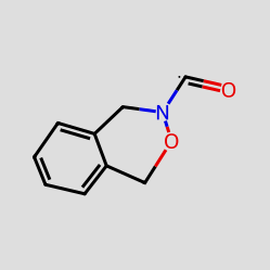 O=[C]N1Cc2ccccc2CO1